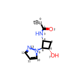 CC(C)(C)C(=O)N[C@@H]1C[C@H](O)[C@H]1n1cccn1